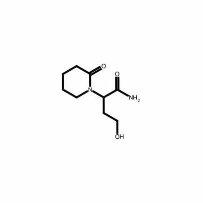 NC(=O)C(CCO)N1CCCCC1=O